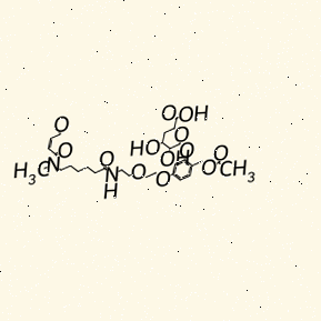 CC(=O)OCc1ccc(OCCOCCNC(=O)CCCCCN(C)C(=O)/C=C\C=O)cc1OC1OC(C(=O)O)CC(O)[C@H]1O